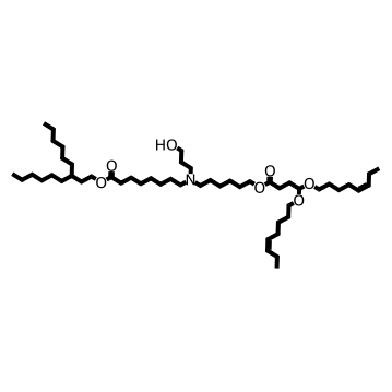 CC/C=C\CCCCOC(CCC(=O)OCCCCCCN(CCCO)CCCCCCCC(=O)OCCC(CCCCCC)CCCCCC)OCCCC/C=C\CC